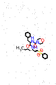 CCCC[C@@H](/C=C/S(=O)(=O)c1ccccc1)NC(=O)C(Cc1ccccc1)NC(=O)N1CCOCC1